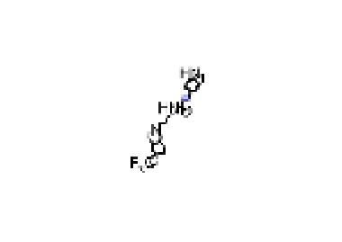 O=C(/C=C/c1ccc2[nH]ccc2c1)NCCCCN1CCc2cc(OC(F)(F)F)ccc2C1